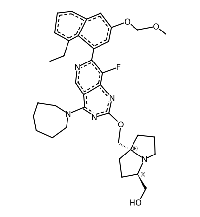 CCc1cccc2cc(OCOC)cc(-c3ncc4c(N5CCCCCC5)nc(OC[C@]56CCCN5[C@@H](CO)CC6)nc4c3F)c12